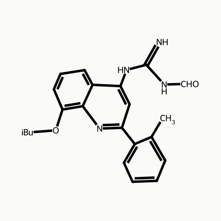 CCC(C)Oc1cccc2c(NC(=N)NC=O)cc(-c3ccccc3C)nc12